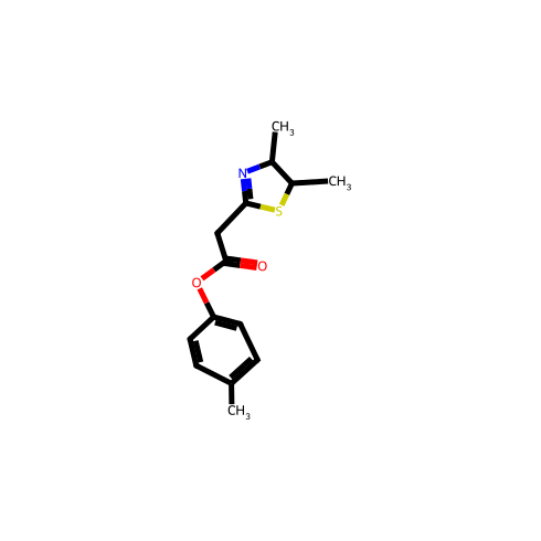 Cc1ccc(OC(=O)CC2=NC(C)C(C)S2)cc1